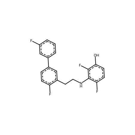 Oc1ccc(F)c(NCCc2cc(-c3cccc(F)c3)ccc2F)c1F